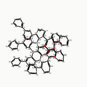 c1ccc(-c2cccc(-c3cccc(-c4cccc(-c5ccccc5)c4)c3N3c4ccc(-c5ccccc5)cc4B4c5cc(-c6ccccc6)ccc5N(c5c(-c6ccccc6)cccc5-c5ccccc5)c5cc(N(c6ccccc6)c6ccccc6)cc3c54)c2)cc1